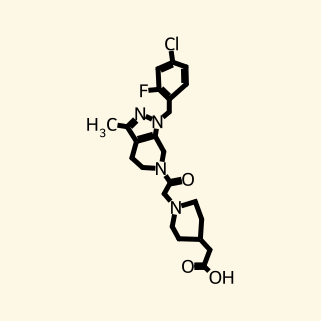 Cc1nn(Cc2ccc(Cl)cc2F)c2c1CCN(C(=O)CN1CCC(CC(=O)O)CC1)C2